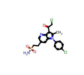 Cc1c(C(=O)CCl)c2ncc(CCS(N)(=O)=O)cc2n1-c1ccc(Cl)cc1